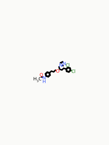 CC(=O)Nc1ccc(CCCOC(CCc2ccc(Cl)cc2Cl)Cn2ccnc2)cc1